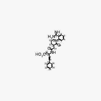 N=C(N)c1ccccc1N1CCCC(CC(=O)NC(C#Cc2ccccc2)CC(=O)O)C1=O